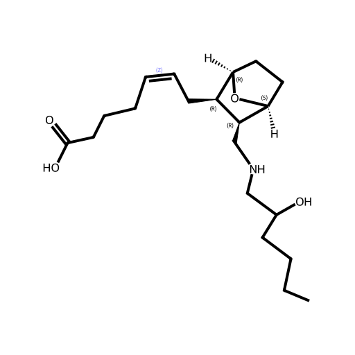 CCCCC(O)CNC[C@H]1[C@@H](C/C=C\CCCC(=O)O)[C@H]2CC[C@@H]1O2